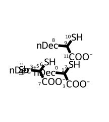 CCCCCCCCCCC(S)C(=O)[O-].CCCCCCCCCCC(S)C(=O)[O-].CCCCCCCCCCC(S)C(=O)[O-].[Sb+3]